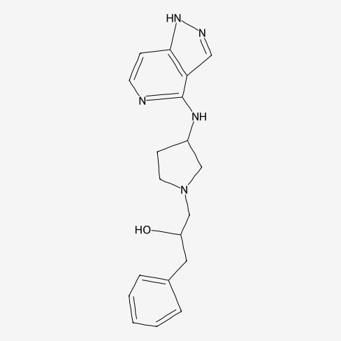 OC(Cc1ccccc1)CN1CCC(Nc2nccc3[nH]ncc23)C1